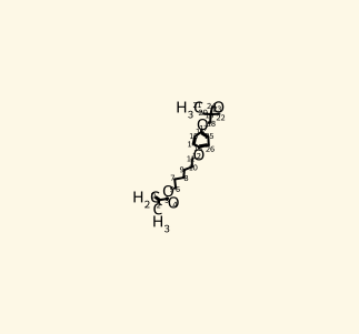 C=C(C)C(=O)OCCCCCCOc1ccc(OCC2(CC)COC2)cc1